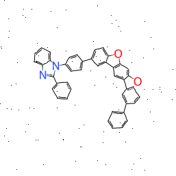 c1ccc(-c2ccc3oc4cc5oc6ccc(-c7ccc(-n8c(-c9ccccc9)nc9ccccc98)cc7)cc6c5cc4c3c2)cc1